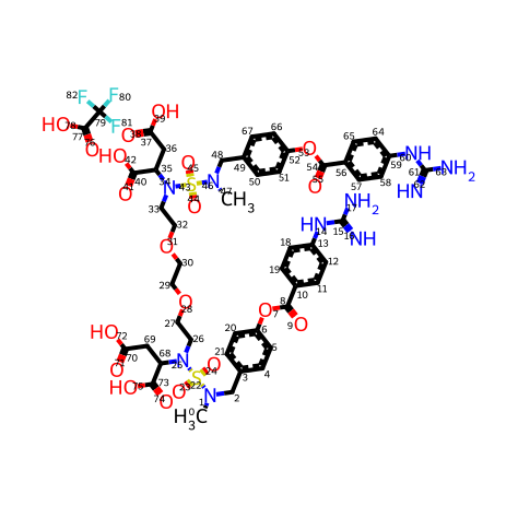 CN(Cc1ccc(OC(=O)c2ccc(NC(=N)N)cc2)cc1)S(=O)(=O)N(CCOCCOCCN(C(CC(=O)O)C(=O)O)S(=O)(=O)N(C)Cc1ccc(OC(=O)c2ccc(NC(=N)N)cc2)cc1)C(CC(=O)O)C(=O)O.O=C(O)C(F)(F)F